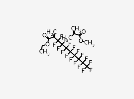 C=C(C(=O)OCC)C(F)(F)C(F)(F)C(F)(F)C(F)(F)C(F)(F)C(F)(F)C(F)(F)C(F)(F)F.C=C(C)C(=O)OC